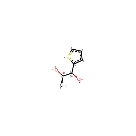 C[C@@H](O)[C@H](O)c1cccs1